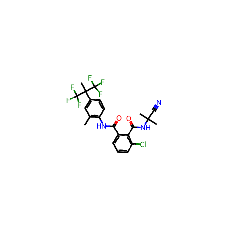 Cc1cc(C(C)(C(F)(F)F)C(F)(F)F)ccc1NC(=O)c1cccc(Cl)c1C(=O)NC(C)(C)C#N